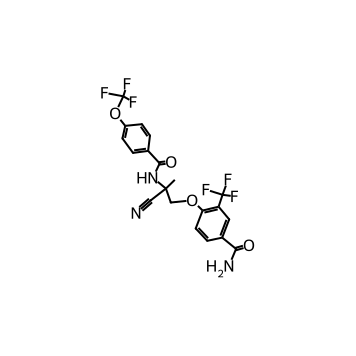 CC(C#N)(COc1ccc(C(N)=O)cc1C(F)(F)F)NC(=O)c1ccc(OC(F)(F)F)cc1